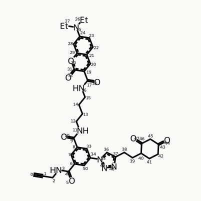 C#CCNC(=O)c1cc(C(=O)NCCCCNC(=O)c2cc3ccc(N(CC)CC)cc3oc2=O)cc(-n2cc(CCC3CCC(=O)CC3=O)nn2)c1